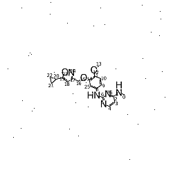 CNc1ccnc(Nc2ccc(OC)c(OCc3cc(C4CC4)on3)c2)n1